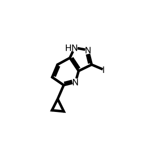 Ic1n[nH]c2ccc(C3CC3)nc12